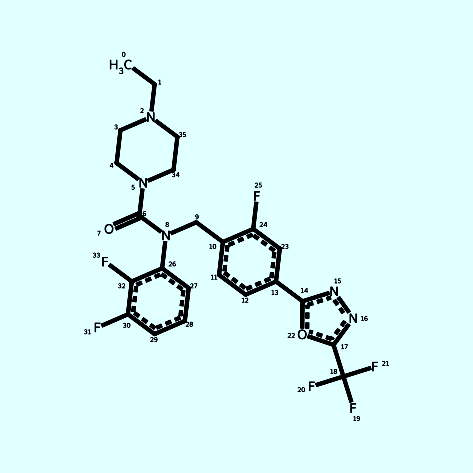 CCN1CCN(C(=O)N(Cc2ccc(-c3nnc(C(F)(F)F)o3)cc2F)c2cccc(F)c2F)CC1